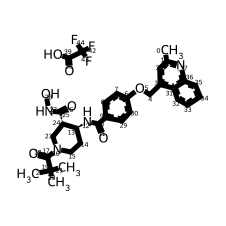 Cc1cc(COc2ccc(C(=O)N[C@@H]3CCN(C(=O)C(C)(C)C)C[C@@H]3C(=O)NO)cc2)c2ccccc2n1.O=C(O)C(F)(F)F